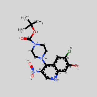 CC(C)(C)OC(=O)N1CCN(c2c([N+](=O)[O-])cnc3cc(Br)c(Cl)cc23)CC1